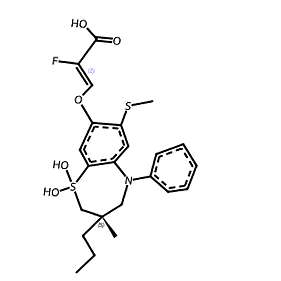 CCC[C@@]1(C)CN(c2ccccc2)c2cc(SC)c(O/C=C(\F)C(=O)O)cc2S(O)(O)C1